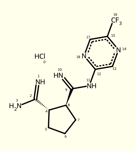 Cl.N=C(N)[C@H]1CCC[C@@H]1C(=N)Nc1cnc(C(F)(F)F)cn1